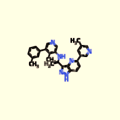 C=C(Nc1cncc(-c2cccc(C)c2)c1C)c1n[nH]c2ccc(-c3cncc(C)c3)nc12